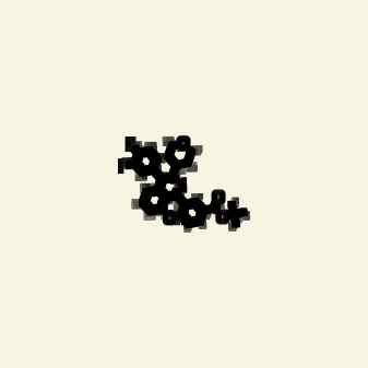 CC(C)(C)OC(=O)c1cccc(-c2nc(C3CCOCC3)c(-c3ccc(F)c(F)c3)c3cccc(O)c23)c1